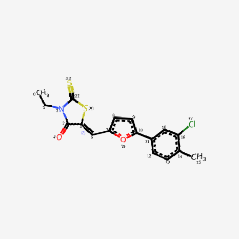 CCN1C(=O)/C(=C/c2ccc(-c3ccc(C)c(Cl)c3)o2)SC1=S